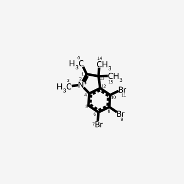 CC1=[N+](C)c2cc(Br)c(Br)c(Br)c2C1(C)C